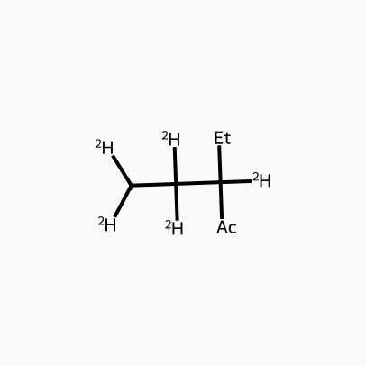 [2H][C]([2H])C([2H])([2H])C([2H])(CC)C(C)=O